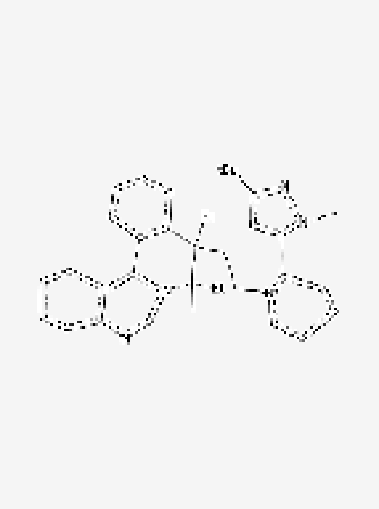 CCC1(CC[n+]2ccccc2-c2cc(C(C)(C)C)nn2C)c2ccccc2-c2c3ccccc3nc[n+]2C1(C)CC